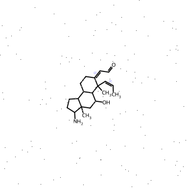 C/C=C\C1(C)/C(=C\C=O)CCC2C1C(O)CC1(C)C(N)CCC21